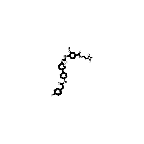 COc1cc(C(=O)NCCS(C)(=O)=O)ccc1Nc1nc2ccc(-c3ccc(NC(=O)Cc4ccc(F)cc4)cc3)cn2n1